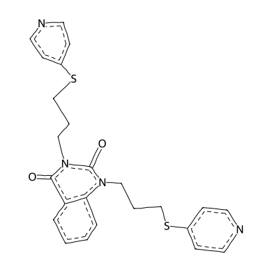 O=c1c2ccccc2n(CCCSc2ccncc2)c(=O)n1CCCSc1ccncc1